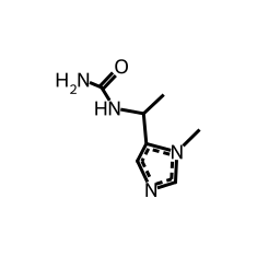 CC(NC(N)=O)c1cncn1C